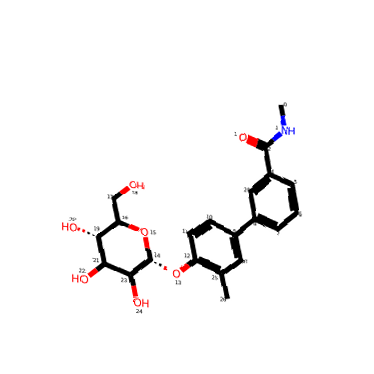 CNC(=O)c1cccc(-c2ccc(O[C@H]3OC(CO)[C@@H](O)C(O)C3O)c(C)c2)c1